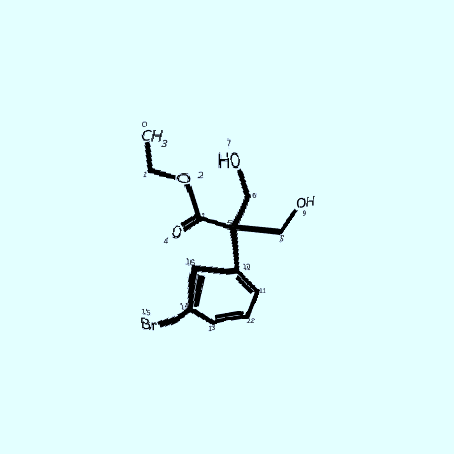 CCOC(=O)C(CO)(CO)c1cccc(Br)c1